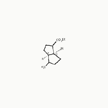 CCOC(=O)C1CC[C@@H]2C(C)CC[C@H]12